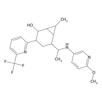 COc1ccc(NC(C)C2CC(c3cccc(C(F)(F)F)n3)C(O)C3C(C)C23)cn1